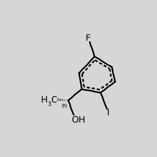 C[C@@H](O)c1cc(F)ccc1I